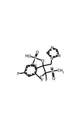 CS(=O)(=O)C(F)(F)C(Cn1cncn1)(OP(=O)(O)O)c1ccc(F)cc1F